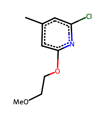 COCCOc1cc(C)cc(Cl)n1